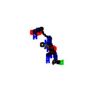 CC1(C)CCC(CN2CCN(c3ccc(C(=O)NS(=O)(=O)c4ccc(NCC5CCCN(CCCCCC#Cc6cccc7c6C(=O)N(C6CCC(=O)NC6=O)C7)C5)c([N+](=O)[O-])c4)c(Oc4cnc5[nH]ccc5c4)c3)CC2)=C(c2ccc(Cl)cc2)C1